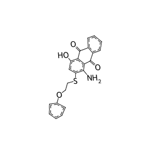 Nc1c(SCCOc2ccccc2)cc(O)c2c1C(=O)c1ccccc1C2=O